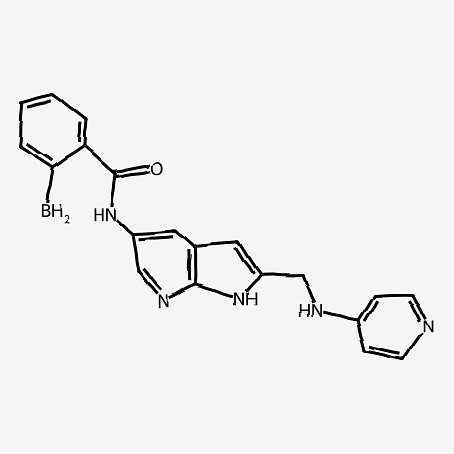 Bc1ccccc1C(=O)Nc1cnc2[nH]c(CNc3ccncc3)cc2c1